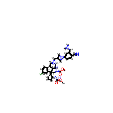 COC(=O)NC[C@@](c1cccc(F)c1)(C1CCN(CC2CN(c3ccc(C#N)c(CN(C)C)c3)C2)CC1)[C@H]1CCC[C@@H]1NC(=O)OC